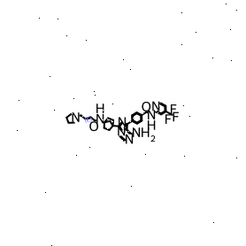 Nc1nccn2c(C34CCC(NC(=O)/C=C/CN5CCCC5)(CC3)C4)nc(-c3ccc(C(=O)Nc4cc(C(F)(F)F)ccn4)cc3)c12